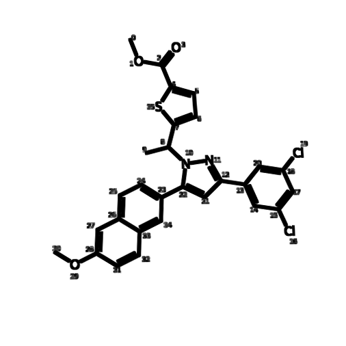 COC(=O)c1ccc(C(C)n2nc(-c3cc(Cl)cc(Cl)c3)cc2-c2ccc3cc(OC)ccc3c2)s1